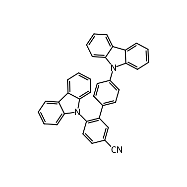 N#Cc1ccc(-n2c3ccccc3c3ccccc32)c(-c2ccc(-n3c4ccccc4c4ccccc43)cc2)c1